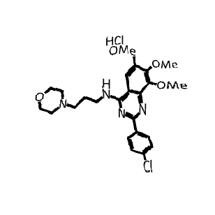 COc1cc2c(NCCCN3CCOCC3)nc(-c3ccc(Cl)cc3)nc2c(OC)c1OC.Cl